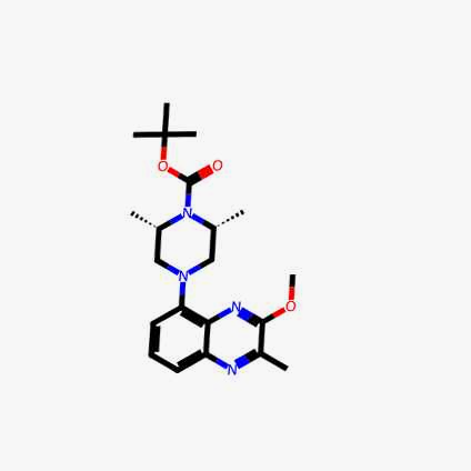 COc1nc2c(N3C[C@@H](C)N(C(=O)OC(C)(C)C)[C@@H](C)C3)cccc2nc1C